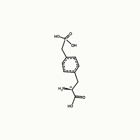 N[C@@H](Cc1ccc(CP(=O)(O)O)cc1)C(=O)O